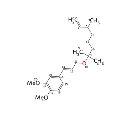 C=CC(C)CCCC(C)(C)OC/C=C/c1ccc(OC)c(OC)c1